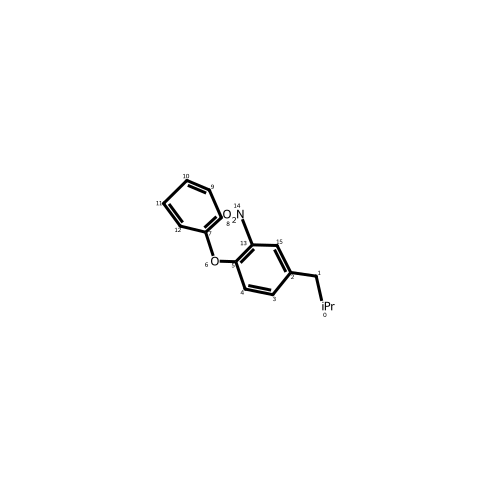 CC(C)Cc1ccc(Oc2ccccc2)c([N+](=O)[O-])c1